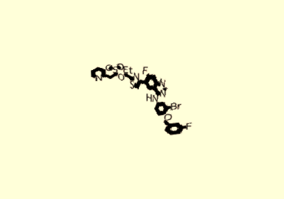 CCC(OC(Cc1ccccn1)=S(=O)=O)c1nc(-c2cc3c(Nc4ccc(OCc5cccc(F)c5)c(Br)c4)ncnc3cc2F)cs1